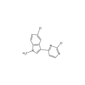 Cn1cc(-c2ccnc(Cl)n2)c2cc(Cl)ccc21